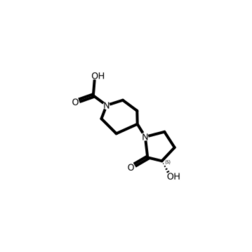 O=C(O)N1CCC(N2CC[C@H](O)C2=O)CC1